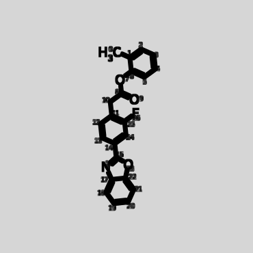 Cc1ccccc1OC(=O)Cc1ccc(-c2nc3ccccc3o2)cc1F